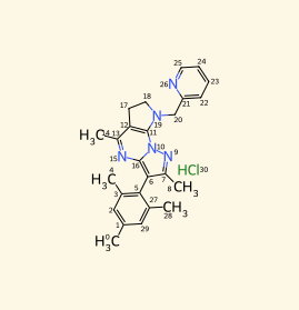 Cc1cc(C)c(-c2c(C)nn3c4c(c(C)nc23)CCN4Cc2ccccn2)c(C)c1.Cl